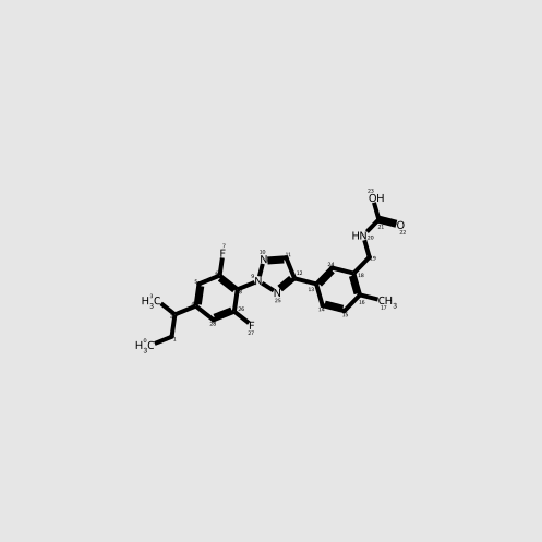 CCC(C)c1cc(F)c(-n2ncc(-c3ccc(C)c(CNC(=O)O)c3)n2)c(F)c1